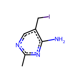 Cc1ncc(CI)c(N)n1